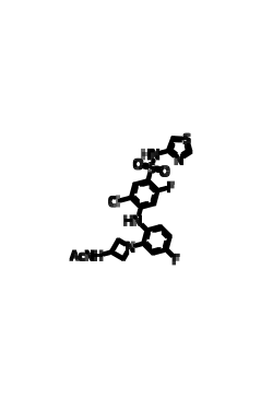 CC(=O)NC1CN(c2cc(F)ccc2Nc2cc(F)c(S(=O)(=O)Nc3cscn3)cc2Cl)C1